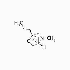 CCC[C@@]12C[C@@H](CO1)N(C)C2